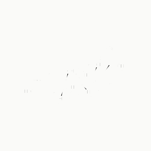 CC[C@@]1(O)CC[C@@]2(C)[C@H](CC[C@@H]3[C@@H]2CC[C@]2(C)[C@@H](C(C)CBr)CC[C@@H]32)C1